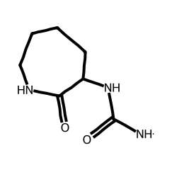 [NH]C(=O)NC1CCCCNC1=O